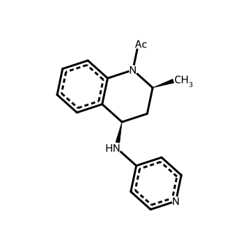 CC(=O)N1c2ccccc2[C@H](Nc2ccncc2)C[C@@H]1C